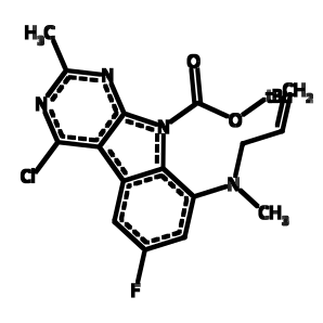 C=CCN(C)c1cc(F)cc2c3c(Cl)nc(C)nc3n(C(=O)OC(C)(C)C)c12